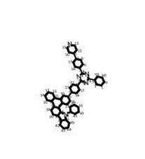 c1ccc(-c2nc(-c3ccc(-c4ccncc4)cc3)nc(-c3ccc(-c4ccc5c(c4)c4ccccc4c4ccc6c7ccccc7n(-c7ccccc7)c6c45)cc3)n2)cc1